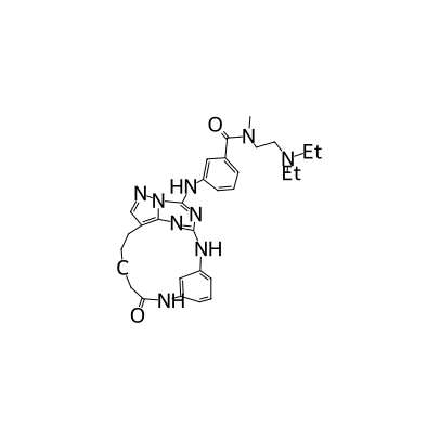 CCN(CC)CCN(C)C(=O)c1cccc(Nc2nc3nc4c(cnn24)CCCCC(=O)Nc2cccc(c2)N3)c1